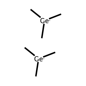 [CH3][Ge]([CH3])[CH3].[CH3][Ge]([CH3])[CH3]